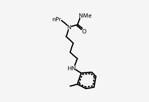 CCCN(CCCCNc1ccccc1C)C(=O)NC